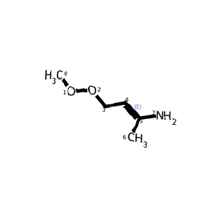 COOC/C=C(\C)N